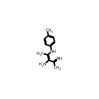 CC(=N)/C(N)=C(/C)Nc1ccc(C)cc1